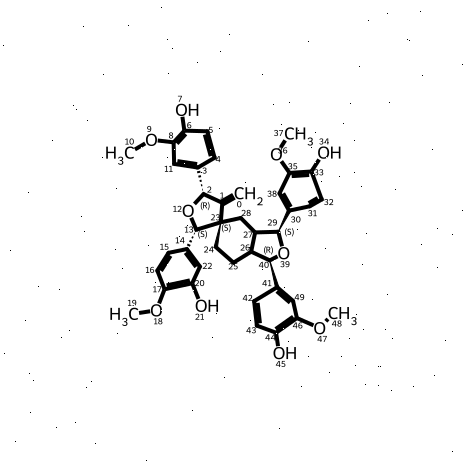 C=C1[C@@H](c2ccc(O)c(OC)c2)O[C@@H](c2ccc(OC)c(O)c2)[C@]12CCC1C(C2)[C@@H](c2ccc(O)c(OC)c2)O[C@H]1c1ccc(O)c(OC)c1